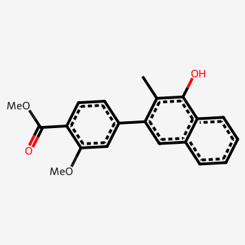 COC(=O)c1ccc(-c2cc3ccccc3c(O)c2C)cc1OC